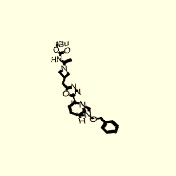 C=C(NC(=O)OC(C)(C)C)N1CC(Cc2nnc([C@@H]3CC[C@@H]4CN3CN4OCc3ccccc3)o2)C1